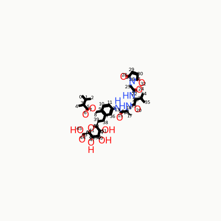 CC(C)C(C)C(=O)OCc1ccc(NC(=O)[C@H](C)NC(=O)[C@@H](NC(=O)CN2C(=O)C=CC2=O)C(C)C)cc1CC[C@@H]1O[C@H](C(=O)O)[C@@H](O)[C@H](O)[C@H]1O